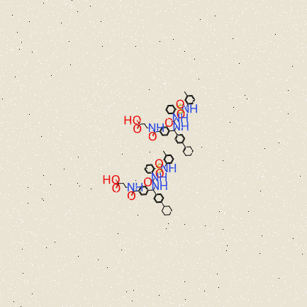 Cc1cccc(NS(=O)(=O)c2ccccc2NC(=O)NC(c2ccc(C(=O)NCCC(=O)O)cc2)c2ccc(C3=CCCCC3)cc2)c1.Cc1cccc(NS(=O)(=O)c2ccccc2NC(=O)NC(c2ccc(C(=O)NCCC(=O)O)cc2)c2ccc(C3CCCCC3)cc2)c1